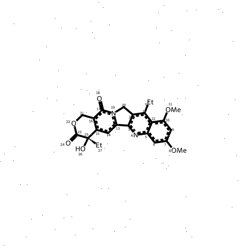 CCc1c2c(nc3cc(OC)cc(OC)c13)-c1cc3c(c(=O)n1C2)COC(=O)[C@]3(O)CC